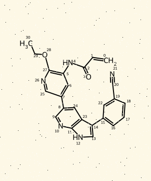 C=CC(=O)Nc1cc(-c2cnc3[nH]cc(-c4cccc(C#N)c4)c3c2)cnc1OCC